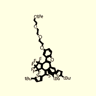 COCCOCCOCCOc1ccc2oc(-c3ccc(C(C)(C)C)cc3)c(C3=C(c4cc(-c5ccc(C(C)(C)C)s5)sc4-c4ccc(C(C)(C)C)s4)C(F)(F)C(F)(F)C3(F)F)c2c1